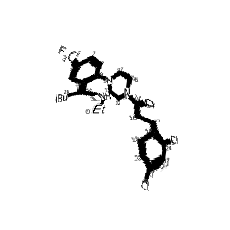 CCNC(c1cc(C(F)(F)F)ccc1N1CCN(C(=O)CCc2ccc(Cl)cc2Cl)CC1)C(C)CC